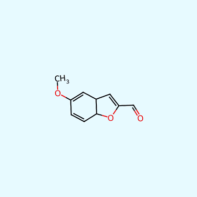 COC1=CC2C=C(C=O)OC2C=C1